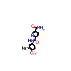 N#Cc1cc(NC(=O)c2ccc(C(N)=O)cn2)ccc1O